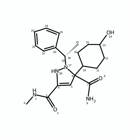 CNC(=O)C1=CC(C(N)=O)(C2CCC(O)CC2)N([C@@H](C)c2ccccc2)N1